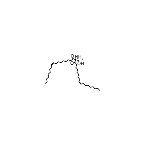 CCCCCCCC/C=C\CCCCCCCC(=O)C(N)(CO)C(=O)CCCCCCC/C=C\CCCCCCCC